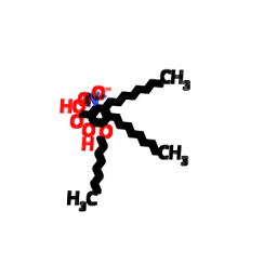 CCCCCCCCCOc1c(O)c(C(=O)O)c([N+](=O)[O-])c(CCCCCCCCC)c1CCCCCCCCC